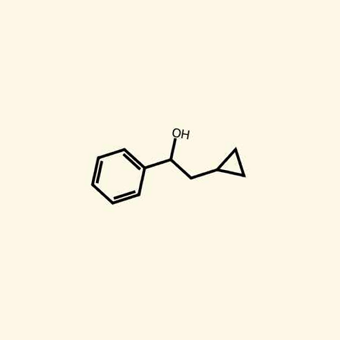 OC(CC1CC1)c1ccccc1